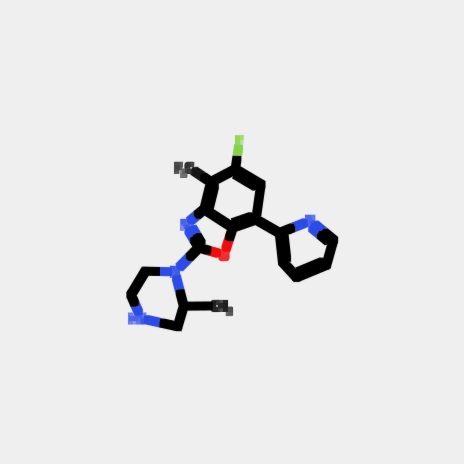 CC1CNCCN1c1nc2c(C(F)(F)F)c(F)cc(-c3ccccn3)c2o1